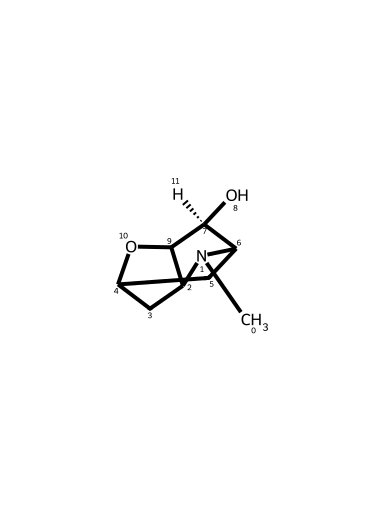 CN1C2CC3CC1[C@H](O)C2O3